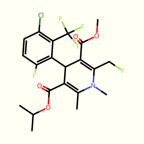 COC(=O)C1=C(CF)N(C)C(C)=C(C(=O)OC(C)C)C1c1c(F)ccc(Cl)c1C(F)(F)F